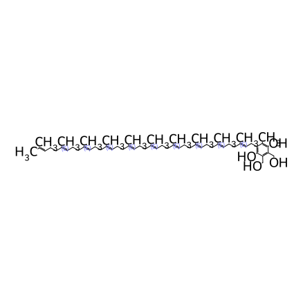 CC(C)=CCC/C(C)=C/CC/C(C)=C/CC/C(C)=C/CC/C(C)=C/CC/C(C)=C/CC/C(C)=C/CC/C(C)=C/CC/C(C)=C/CC/C(C)=C/Cc1c(C)c(O)c(CO)c(CO)c1O